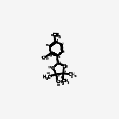 Cc1ccc(B2OC(C)(C)C(C)(C)O2)c(Cl)c1